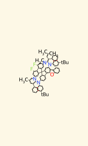 C=N/C(=C(\C=C(C)C)c1ccccc1)N(c1ccc(C(C)(C)C)cc1)c1cc2c(c3oc4ccccc4c13)-c1ccc(N(c3ccc(C(C)(C)C)cc3)c3ncc(C)cc3-c3ccccc3)cc1C21c2cccc(F)c2-c2c(F)cccc21